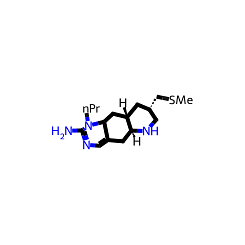 CCCN1C(N)=NC=C2C[C@@H]3NC[C@@H](CSC)C[C@H]3CC21